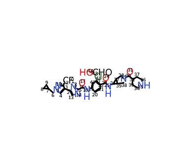 Cn1c(-c2cn(CC3CC3)nc2C(F)(F)F)cnc1C(=O)Nc1ccc(C(=O)NC2C3CN(C(=O)C4CCNCC4)CC32)c(Cl)c1.O=CO